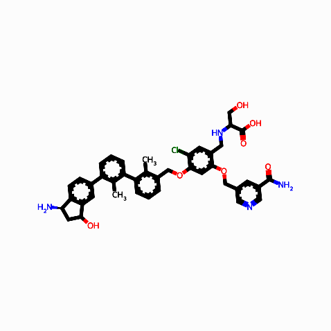 Cc1c(COc2cc(OCc3cncc(C(N)=O)c3)c(CNC(CO)C(=O)O)cc2Cl)cccc1-c1cccc(-c2ccc3c(c2)C(O)C[C@H]3N)c1C